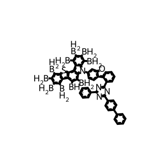 Bc1c(B)c(B)c2c(sc3c2c(B)c(B)c2c3c3c(B)c(B)c(B)c(B)c3n2-c2ccc3c(c2)oc2cccc(-c4nc(-c5ccccc5)nc(-c5ccc(-c6ccccc6)cc5)n4)c23)c1B